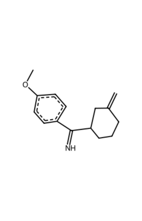 C=C1CCCC(C(=N)c2ccc(OC)cc2)C1